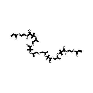 C=CC(=O)OCCNC(=O)C(C)(C)OC(C)COC(=O)C(C)(C)OC(C)COCC(C)OC(C)(C)C(=O)OCC(C)OC(C)(C)C(=O)NCCOC(=O)C=C